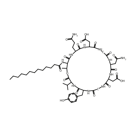 CCCCCCCCCCCCC(=O)NC1C(=O)NC(CCC(N)=O)C(=O)NC(CC(=O)O)C(=O)NCC(=O)NC(CC(N)=O)C(=O)NC(CC(=O)O)C(=O)NCC(=O)NC(Cc2ccc(O)cc2)C(=O)NC(C(C)C)C(=O)OC1C